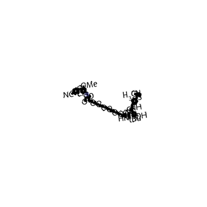 COc1cc(/C=C2\SC(=O)N(CCOCCOCCOCCOCCOCCOCC(=O)N[C@H](C(=O)N3C[C@H](O)CC3C(=O)NCc3ccc(-c4scnc4C)cc3)C(C)(C)C)C2=O)ccc1Oc1ccc(C#N)cc1C(F)(F)F